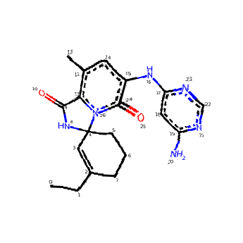 CCC1=CC2(CCC1)NC(=O)c1c(C)cc(Nc3cc(N)ncn3)c(=O)n12